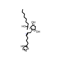 CCCCCCCC(C)(O)[C@H]1[C@H](C/C=C\CCCc2nnn[nH]2)[C@H](O)C[C@@H]1O